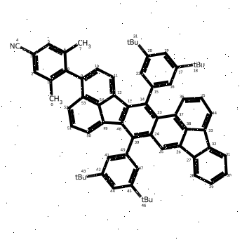 Cc1cc(C#N)cc(C)c1-c1ccc2c3c(-c4cc(C(C)(C)C)cc(C(C)(C)C)c4)c4c(cc5c6ccccc6c6cccc4c65)c(-c4cc(C(C)(C)C)cc(C(C)(C)C)c4)c3c3cccc1c32